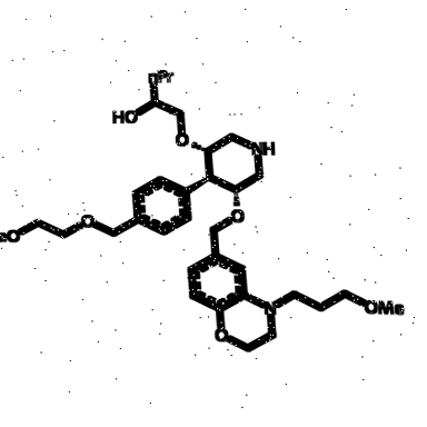 CCCC(O)CO[C@@H]1CNC[C@H](OCc2ccc3c(c2)N(CCCOC)CCO3)[C@H]1c1ccc(COCCOC)cc1